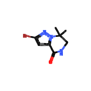 CC1(C)CNC(=O)c2cc(Br)nn21